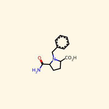 NC(=O)C1CCC(C(=O)O)N1Cc1ccccc1